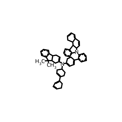 CC1(C)c2ccccc2C2CC=C(N(C3=CC=C(c4ccccc4N4c5ccccc5C5C6CC=CC=C6C=CC54)CC3)C3CC=C(C4=CC=CCC4)CC3)CC21